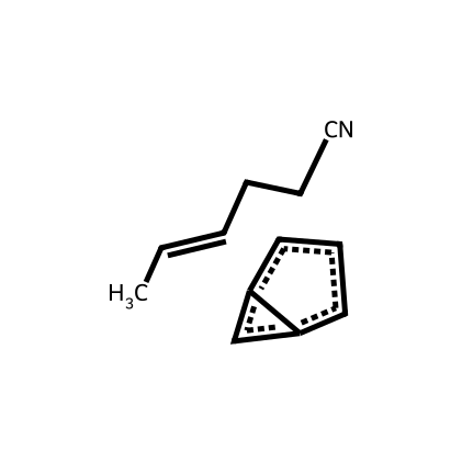 CC=CCCC#N.c1cc2cc-2c1